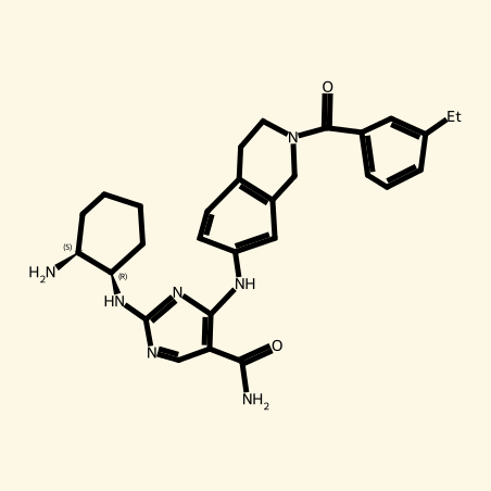 CCc1cccc(C(=O)N2CCc3ccc(Nc4nc(N[C@@H]5CCCC[C@@H]5N)ncc4C(N)=O)cc3C2)c1